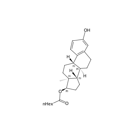 CCCCCCC(=O)O[C@@H]1CC[C@H]2[C@@H]3CCc4cc(O)ccc4[C@H]3CC[C@]12C